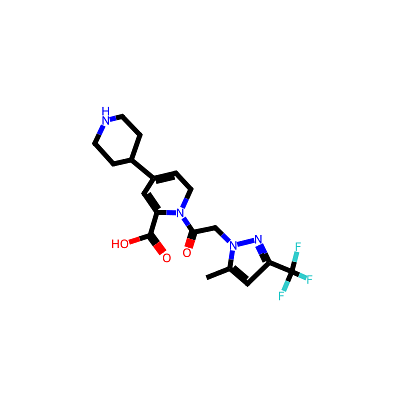 Cc1cc(C(F)(F)F)nn1CC(=O)N1CC=C(C2CCNCC2)C=C1C(=O)O